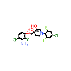 Nc1c(Cl)ccc(OC[C@]2(O)CCN(c3c(F)cc(Cl)cc3F)C[C@H]2O)c1Cl